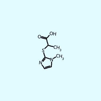 CC(Sc1nccn1C)C(=O)O